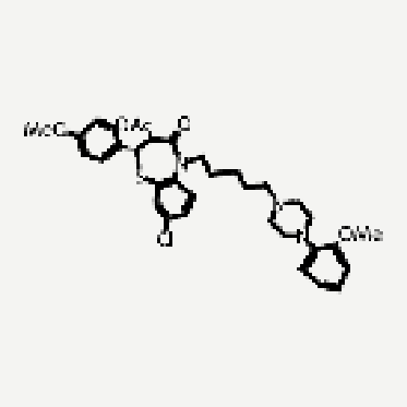 COc1ccc([C@@H]2Sc3cc(Cl)ccc3N(CCCCCN3CCN(c4ccccc4OC)CC3)C(=O)[C@@H]2OC(C)=O)cc1